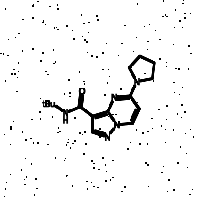 CC(C)(C)NC(=O)c1cnn2ccc(N3CCCC3)nc12